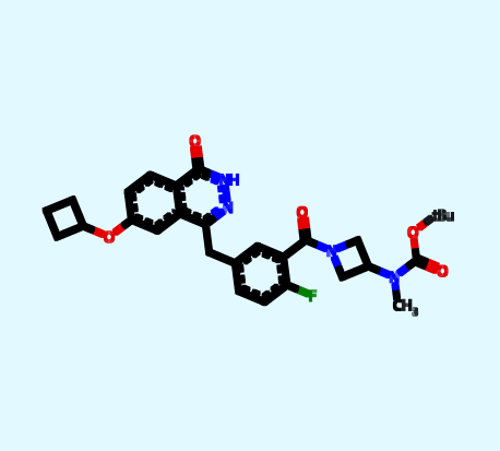 CN(C(=O)OC(C)(C)C)C1CN(C(=O)c2cc(Cc3n[nH]c(=O)c4ccc(OC5CCC5)cc34)ccc2F)C1